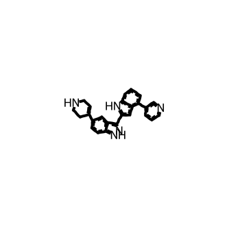 C1=C(c2ccc3[nH]nc(-c4cc5c(-c6cccnc6)cccc5[nH]4)c3c2)CCNC1